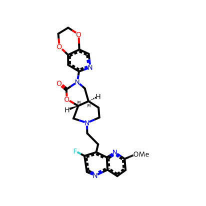 COc1ccc2ncc(F)c(CCN3CC[C@@H]4CN(c5cc6c(cn5)OCCO6)C(=O)O[C@H]4C3)c2n1